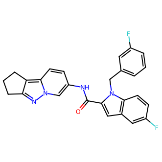 O=C(Nc1ccc2c3c(nn2c1)CCC3)c1cc2cc(F)ccc2n1Cc1cccc(F)c1